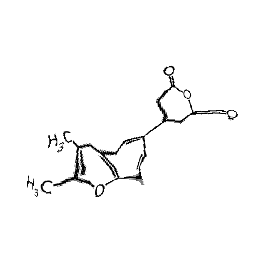 Cc1oc2ccc(C3CC(=O)OC(=O)C3)cc2c1C